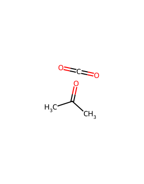 CC(C)=O.O=C=O